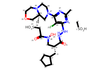 CS(=O)(=O)O.Cc1nc(NNC(=O)[C@H](CC2CCCC2)CN(O)C(=O)CS(=O)(=O)O)c(F)c(N2CCN3CCOC[C@@H]3C2)n1